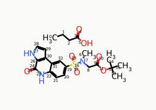 CCCC(=O)O.CN(CC(=O)OC(C)(C)C)S(=O)(=O)c1ccc2[nH]c(=O)c3[nH]ccc3c2c1